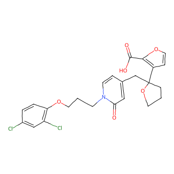 O=C(O)c1occc1C1(Cc2ccn(CCCOc3ccc(Cl)cc3Cl)c(=O)c2)CCCO1